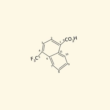 O=C(O)c1ccc(C(F)(F)F)c2ccccc12